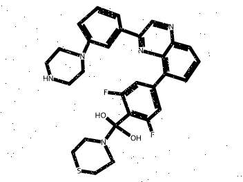 OC(O)(c1c(F)cc(-c2cccc3ncc(-c4cccc(N5CCNCC5)c4)nc23)cc1F)N1CCSCC1